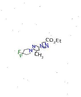 CCOC(=O)c1cn(-c2cnc(N3CCC(F)(F)CC3)c(C)c2)cn1